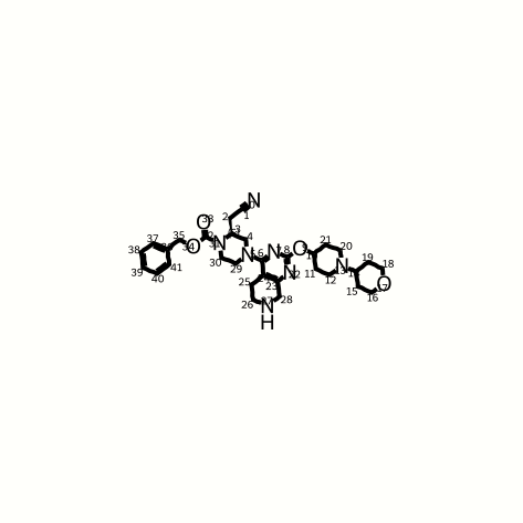 N#CC[C@H]1CN(c2nc(OC3CCN(C4CCOCC4)CC3)nc3c2CCNC3)CCN1C(=O)OCc1ccccc1